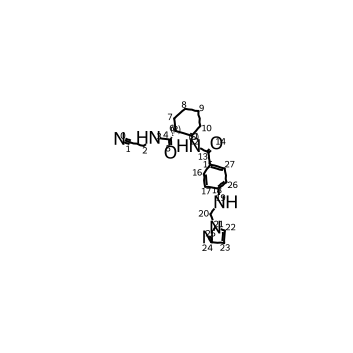 N#CCNC(=O)[C@@H]1CCCC[C@@H]1NC(=O)c1ccc(NCn2cccn2)cc1